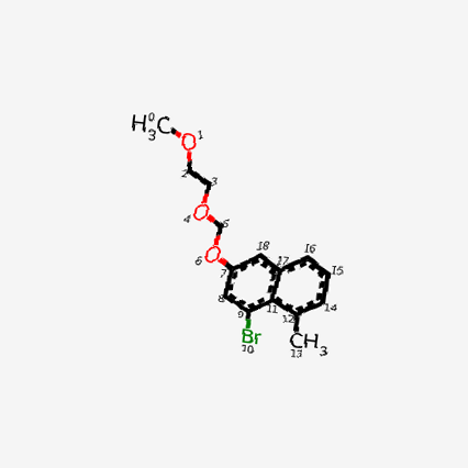 COCCOCOc1cc(Br)c2c(C)cccc2c1